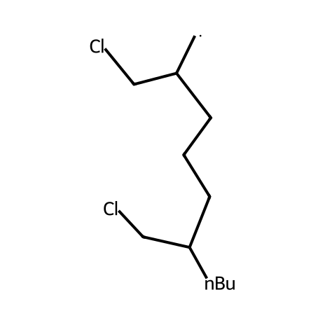 [CH2]C(CCl)CCCC(CCl)CCCC